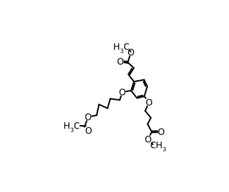 COC(=O)C=Cc1ccc(OCCCC(=O)OC)cc1OCCCCCOC(C)=O